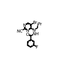 CC(C)CN(NC(=O)c1cccc(F)c1)c1nc(C#N)ncc1Br